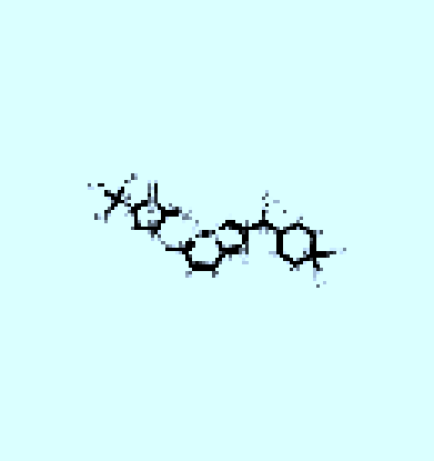 N[C@H](c1cn2nc(C[C@@H]3C[C@@H](C(F)(F)F)NC3=O)ccc2n1)C1CCC(F)(F)CC1